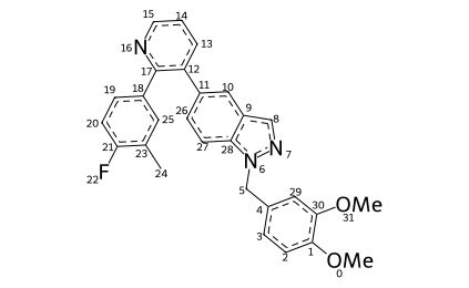 COc1ccc(Cn2ncc3cc(-c4cccnc4-c4ccc(F)c(C)c4)ccc32)cc1OC